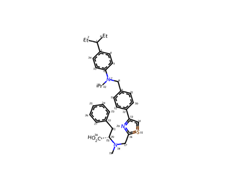 CCC(CC)c1ccc(N(Cc2ccc(-c3csc(CN(C)[C@@H](Cc4ccccc4)C(=O)O)n3)cc2)C(C)C)cc1